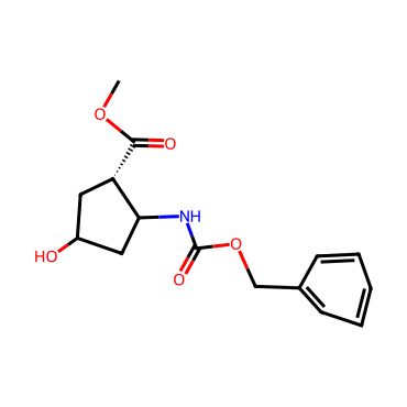 COC(=O)[C@H]1CC(O)CC1NC(=O)OCc1ccccc1